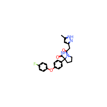 Cc1cc(CC(=O)N2CCCC2(C(N)=O)c2ccc(Oc3ccc(F)cc3)cc2)n[nH]1